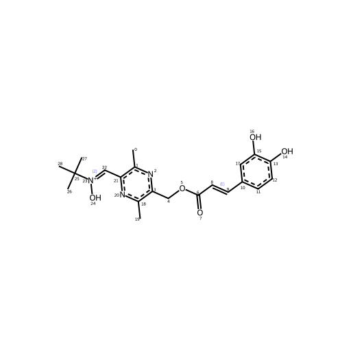 Cc1nc(COC(=O)/C=C/c2ccc(O)c(O)c2)c(C)nc1/C=[N+](\O)C(C)(C)C